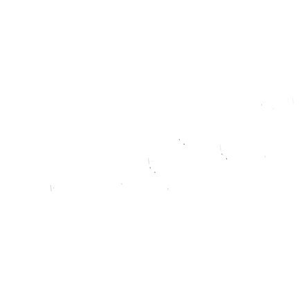 O=C(O)c1cccc(OCCNC(=O)c2cncc(C(=O)NCCOc3cccc(C(=O)O)c3)c2)c1